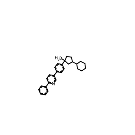 BC1(c2ccc(-c3ccc(-c4ccccc4)nc3)cc2)CCC(C2CCCCC2)C1